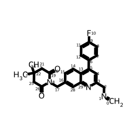 C=NCc1cc(-c2ccc(F)cc2)c2ccc(CN3C(=O)CC(C)(C)CC3=O)cc2n1